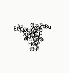 CCC(C)(C)CC(O)COC(=O)Cn1c(=O)n(CC(=O)OCC(O)CC(C)(C)C)c(=O)n(CC(=O)OCC(O)CC(C)(C)C)c1=O